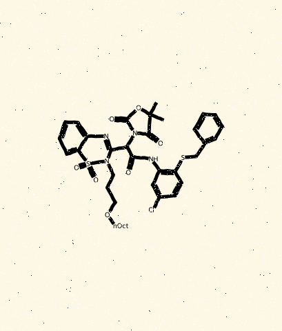 CCCCCCCCOCCCN1C(C(C(=O)Nc2cc(Cl)ccc2SCc2ccccc2)N2C(=O)OC(C)(C)C2=O)=Nc2ccccc2S1(=O)=O